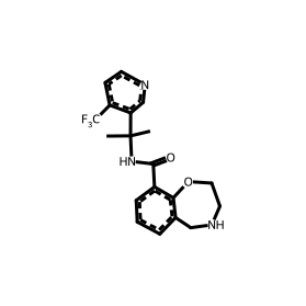 CC(C)(NC(=O)c1cccc2c1OCCNC2)c1cnccc1C(F)(F)F